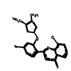 O=C(O)[C@@H]1C[C@H](Oc2cc(Br)ccc2-c2cc(=O)c3cccc(Cl)c3o2)CN1C(=O)O